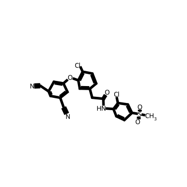 CS(=O)(=O)c1ccc(NC(=O)Cc2ccc(Cl)c(Oc3cc(C#N)cc(C#N)c3)c2)c(Cl)c1